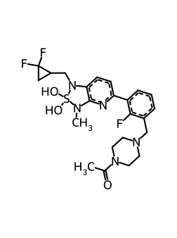 CC(=O)N1CCN(Cc2cccc(-c3ccc4c(n3)N(C)S(O)(O)N4CC3CC3(F)F)c2F)CC1